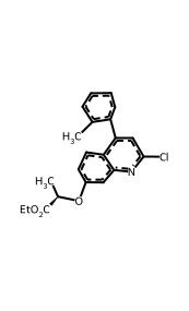 CCOC(=O)[C@@H](C)Oc1ccc2c(-c3ccccc3C)cc(Cl)nc2c1